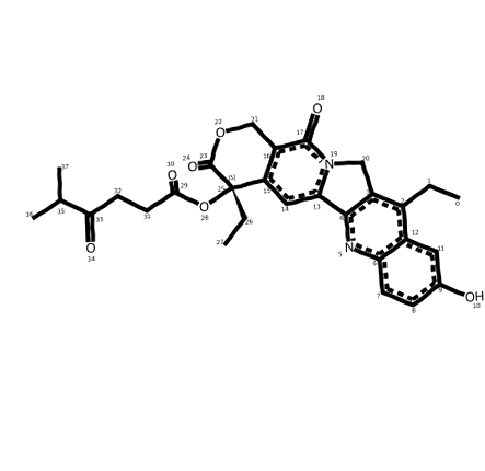 CCc1c2c(nc3ccc(O)cc13)-c1cc3c(c(=O)n1C2)COC(=O)[C@@]3(CC)OC(=O)CCC(=O)C(C)C